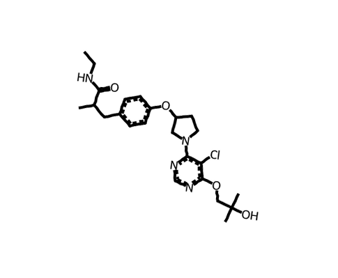 CCNC(=O)C(C)Cc1ccc(OC2CCN(c3ncnc(OCC(C)(C)O)c3Cl)C2)cc1